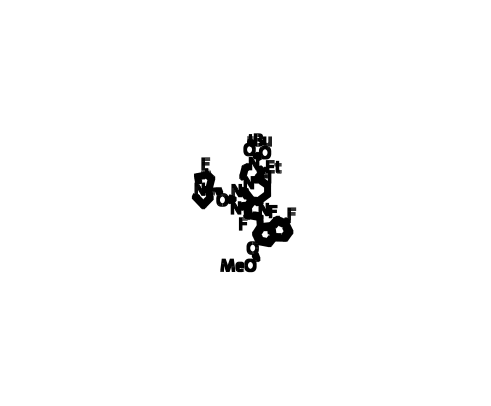 CC[C@H]1[C@H]2CCc3nc(-c4cc(OCOC)cc5ccc(F)c(F)c45)c(F)c4nc(OC[C@@]56CCCN5C[C@H](F)C6)nc(c34)N2CCN1C(=O)OC(C)(C)C